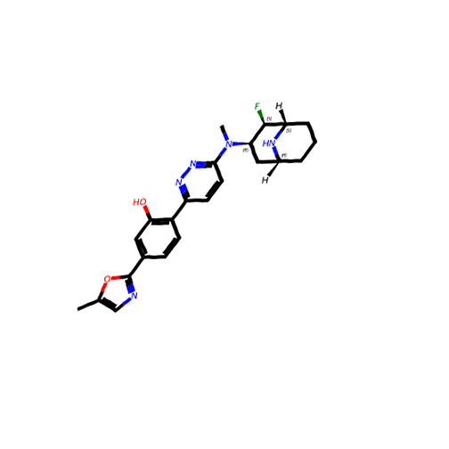 Cc1cnc(-c2ccc(-c3ccc(N(C)[C@@H]4C[C@H]5CCC[C@H](N5)[C@@H]4F)nn3)c(O)c2)o1